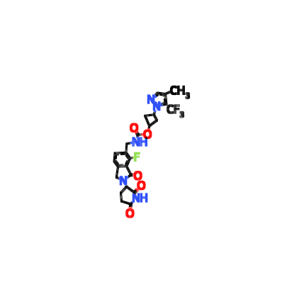 Cc1cnn(C2CC(OC(=O)NCc3ccc4c(c3F)C(=O)N([C@H]3CCC(=O)NC3=O)C4)C2)c1C(F)(F)F